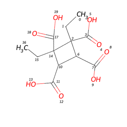 CCC1(C(=O)O)C(C(=O)O)C(C(=O)O)C1(CC)C(=O)O